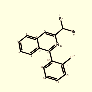 BrC(Br)c1cc2ccccc2c(-c2ccccc2I)n1